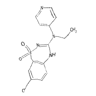 CCN(C1=NS(=O)(=O)c2cc(Cl)ccc2N1)c1ccncc1